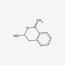 C=C1OC(O)Cc2ccccc21